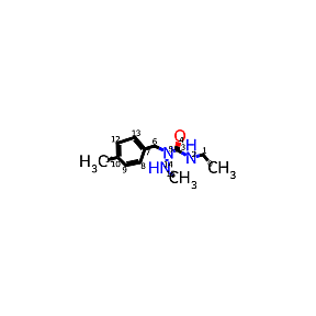 CCNC(=O)N(Cc1ccc(C)cc1)NC